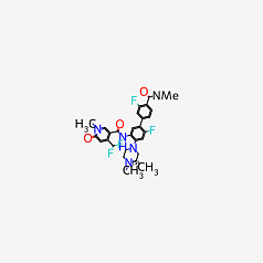 CNC(=O)c1ccc(-c2cc(NC(=O)c3cn(C)c(=O)cc3C(F)F)c(N3CCN(C)[C@@H](C)C3)cc2F)cc1F